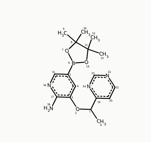 CC(Oc1cc(B2OC(C)(C)C(C)(C)O2)cnc1N)c1ccncn1